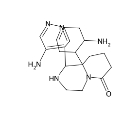 Nc1cnccc1C1NCCN2C(=O)CCCC12C1CC=NCC1N